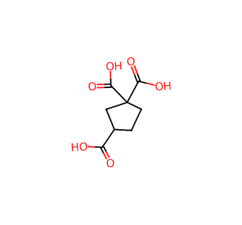 O=C(O)C1CCC(C(=O)O)(C(=O)O)C1